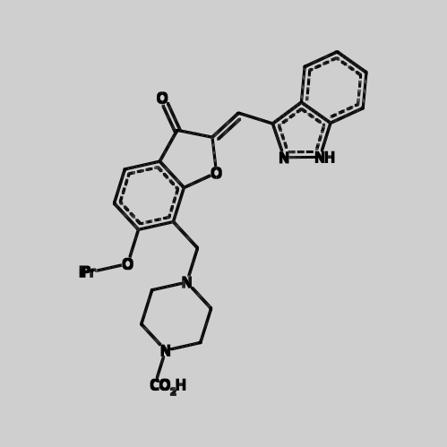 CC(C)Oc1ccc2c(c1CN1CCN(C(=O)O)CC1)OC(=Cc1n[nH]c3ccccc13)C2=O